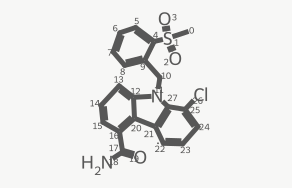 CS(=O)(=O)c1ccccc1Cn1c2cccc(C(N)=O)c2c2[c]ccc(Cl)c21